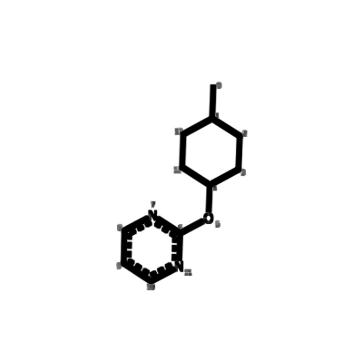 CC1CCC(Oc2ncccn2)CC1